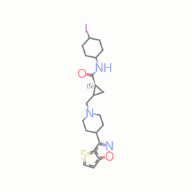 O=C(NC1CCC(I)CC1)[C@H]1CC1CN1CCC(c2noc3ccsc23)CC1